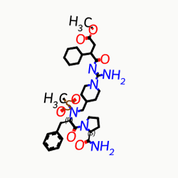 COC(=O)CC(C(=O)N=C(N)N1CCC(CN([C@H](Cc2ccccc2)C(=O)N2CCC[C@H]2C(N)=O)S(C)(=O)=O)CC1)C1CCCCC1